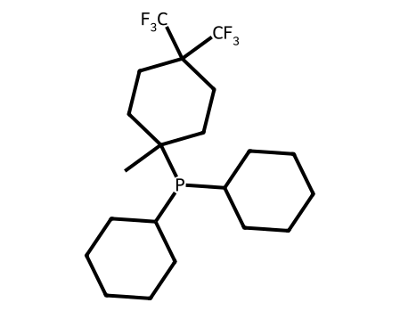 CC1(P(C2CCCCC2)C2CCCCC2)CCC(C(F)(F)F)(C(F)(F)F)CC1